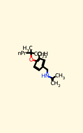 C=C(C)NCc1ccc(OC(C)(CCC)C(=O)O)c(C)c1